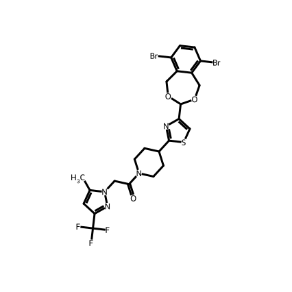 Cc1cc(C(F)(F)F)nn1CC(=O)N1CCC(c2nc(C3OCc4c(Br)ccc(Br)c4CO3)cs2)CC1